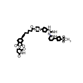 CS(=O)(=O)c1ccc(-c2ccc/c(=N/C(=N)Nc3ccc(N4CCN(C(=O)CCCCC#Cc5ccc6c(c5)C(=O)N(C5CCC(=O)NC5=O)C6=O)CC4)cc3)[nH]2)cc1